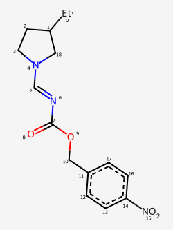 C[CH]C1CCN(C=NC(=O)OCc2ccc([N+](=O)[O-])cc2)C1